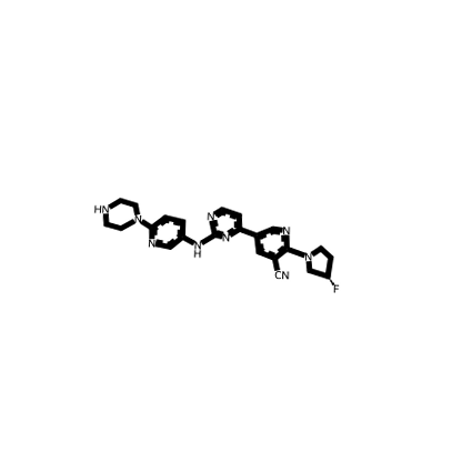 N#Cc1cc(-c2ccnc(Nc3ccc(N4CCNCC4)nc3)n2)cnc1N1CC[C@H](F)C1